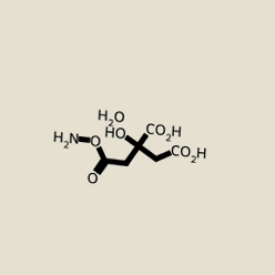 NOC(=O)CC(O)(CC(=O)O)C(=O)O.O